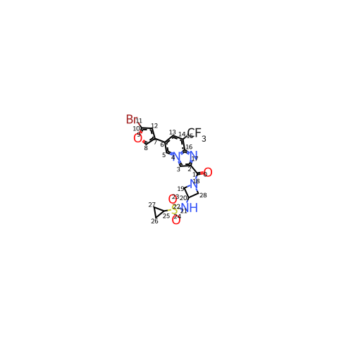 O=C(c1cn2cc(-c3coc(Br)c3)cc(C(F)(F)F)c2n1)N1CC(NS(=O)(=O)C2CC2)C1